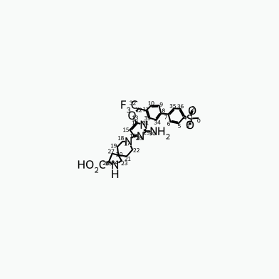 CS(=O)(=O)c1ccc(-c2ccc([C@@H](Oc3cc(N4CCC5(CC4)CN[C@H](C(=O)O)C5)nc(N)n3)C(F)(F)F)cc2)cc1